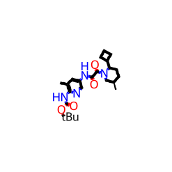 Cc1cc(NC(=O)C(=O)N2C[C@H](C)CCC2C2CCC2)cnc1NC(=O)OC(C)(C)C